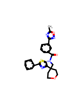 Cc1nc(-c2cccc(C(=O)NCC3(c4csc(-c5ccccc5)n4)CCOCC3)c2)no1